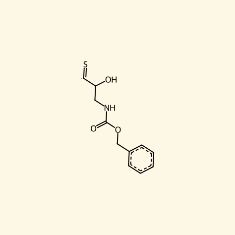 O=C(NCC(O)[C]=S)OCc1ccccc1